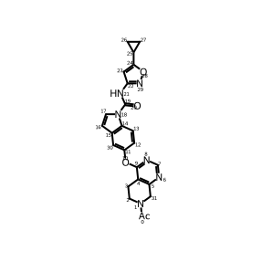 CC(=O)N1CCc2c(ncnc2Oc2ccc3c(ccn3C(=O)Nc3cc(C4CC4)on3)c2)C1